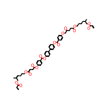 C=CC(=O)OCC(C)CCCCOC(=O)CCC(=O)COc1ccc(C(=O)Oc2ccc(-c3ccc(OC(=O)c4ccc(OC(=O)CCC(=O)OCCCCC(C)COC(=O)C=C)cc4)cc3)cc2)cc1